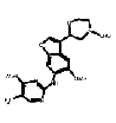 CNc1nc(Nc2cc3occ(C4CN(C=O)CCO4)c3cc2OC)ncc1C(F)(F)F